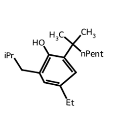 CCCCCC(C)(C)c1cc(CC)cc(CC(C)C)c1O